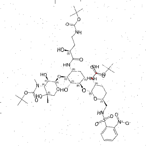 CN(C(=O)OC(C)(C)C)[C@@H]1[C@@H](O)[C@@H](O[C@@H]2[C@@H](O)[C@H](O[C@H]3O[C@H](CNS(=O)(=O)c4ccccc4[N+](=O)[O-])CC[C@H]3NC(=O)O)[C@@H](NC(=O)OC(C)(C)C)C[C@H]2NC(=O)[C@@H](O)CCNC(=O)OC(C)(C)C)OC[C@]1(C)O